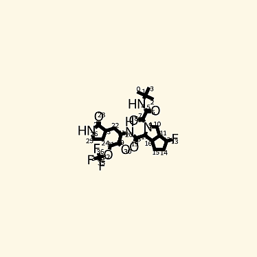 CC(C)(C)NC(=O)C(=O)N1CC2C(F)CCC2C1C(=O)NC(CC1CCNC1=O)C(=O)COC(F)(F)F